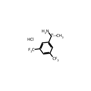 C[C@@H](N)c1cc(C(F)(F)F)cc(C(F)(F)F)c1.Cl